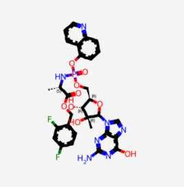 C[C@H](NP(=O)(OC[C@H]1OC(n2cnc3c(O)nc(N)nc32)[C@](C)(O)[C@@H]1O)Oc1cccc2ncccc12)C(=O)OCc1ccc(F)cc1F